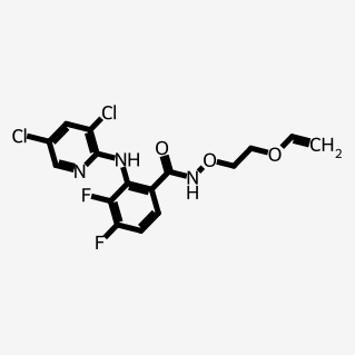 C=COCCONC(=O)c1ccc(F)c(F)c1Nc1ncc(Cl)cc1Cl